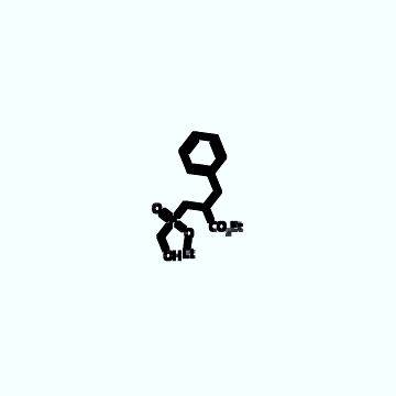 CCOC(=O)C(Cc1ccccc1)CP(=O)(CO)OCC